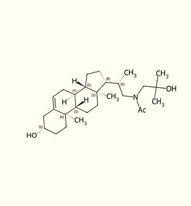 CC(=O)N(C[C@@H](C)[C@H]1CC[C@H]2[C@@H]3CC=C4C[C@@H](O)CC[C@]4(C)[C@H]3CC[C@]12C)CC(C)(C)O